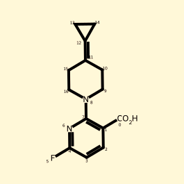 O=C(O)c1ccc(F)nc1N1CCC(=C2CC2)CC1